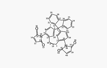 CCc1cc(C2(c3ccc(N4C(=O)C=CC4=O)c(CC)c3)c3ccccc3-c3ccccc32)ccc1N1C(=O)C=CC1=O